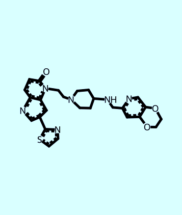 O=c1ccc2ncc(-c3nccs3)cc2n1CCN1CCC(NCc2cc3c(cn2)OCCO3)CC1